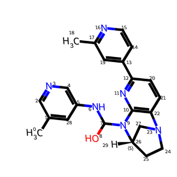 Cc1cncc(NC(O)N2c3nc(-c4ccnc(C)c4)ccc3N3CC[C@H]2C3)c1